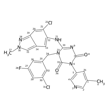 Cc1cncc(-n2c(=O)nc(Nc3cc4cn(C)nc4cc3Cl)n(Cc3cc(F)cc(Cl)c3)c2=O)c1